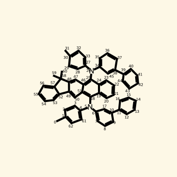 Cc1ccc(N(c2cccc(-c3ccccc3)c2)c2c3ccccc3c(N(c3ccc(C)cc3)c3cccc(-c4ccccc4)c3)c3cc4c(cc23)-c2ccccc2C4(C)C)cc1